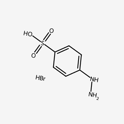 Br.NNc1ccc(S(=O)(=O)O)cc1